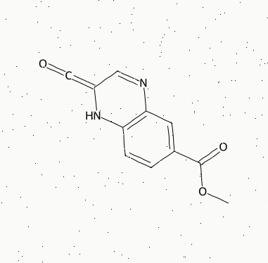 COC(=O)c1ccc2c(c1)N=CC(=C=O)N2